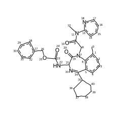 Cc1cccc2c1N(CC(=O)N(C)c1ccccn1)C(=O)C(NC(=O)OCc1ccccc1)N=C2C1CCCCC1